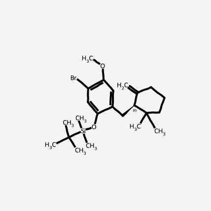 C=C1CCCC(C)(C)[C@H]1Cc1cc(OC)c(Br)cc1O[Si](C)(C)C(C)(C)C